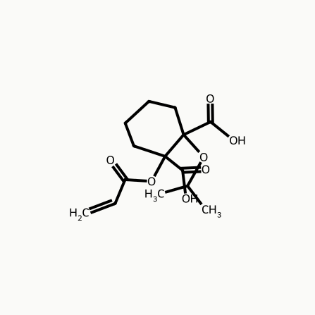 C=CC(=O)OC1(C(=O)O)CCCCC1(OC(C)C)C(=O)O